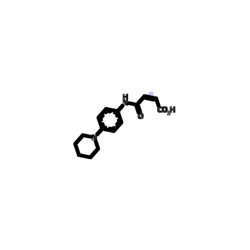 O=C(O)/C=C\C(=O)Nc1ccc(N2CCCCC2)cc1